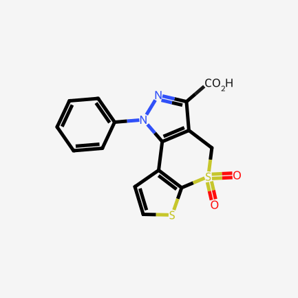 O=C(O)c1nn(-c2ccccc2)c2c1CS(=O)(=O)c1sccc1-2